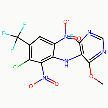 COc1ncnc(F)c1Nc1c([N+](=O)[O-])cc(C(F)(F)F)c(Cl)c1[N+](=O)[O-]